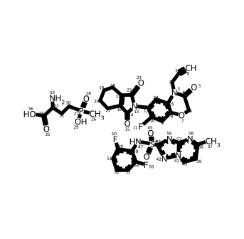 C#CCN1C(=O)COc2cc(F)c(N3C(=O)C4=C(CCCC4)C3=O)cc21.CP(=O)(O)CCC(N)C(=O)O.Cc1ccn2nc(S(=O)(=O)Nc3c(F)cccc3F)nc2n1